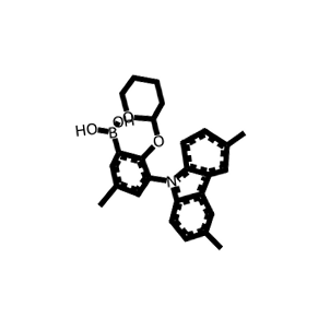 Cc1cc(B(O)O)c(OC2CCCCO2)c(-n2c3ccc(C)cc3c3cc(C)ccc32)c1